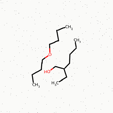 CCCCC(CC)CO.CCCCOCCCC